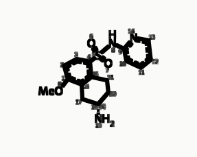 COc1ccc(S(=O)(=O)Nc2ccccn2)c2c1C[C@@H](N)CC2